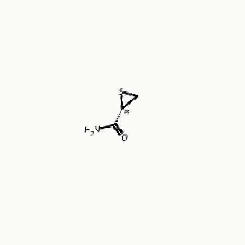 NC(=O)[C@H]1CS1